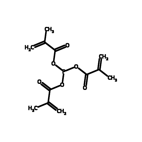 C=C(C)C(=O)OP(OC(=O)C(=C)C)OC(=O)C(=C)C